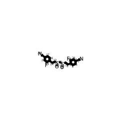 N#Cc1ccc(C=C[S+]([O-])C[S+]([O-])/C=C/c2ccc(C#N)cc2F)c(F)c1